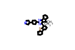 CC1(C)c2ccccc2-c2nc(-c3ccc(-c4ccncc4)cc3)nc(-c3cccc4c3sc3ccccc34)c21